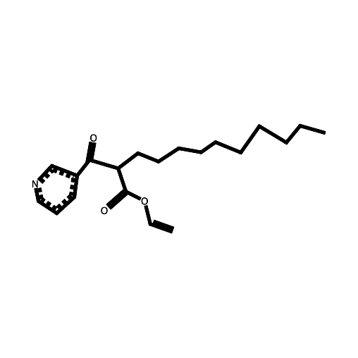 C=COC(=O)C(CCCCCCCCCC)C(=O)c1cccnc1